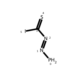 P/N=N/C(=S)I